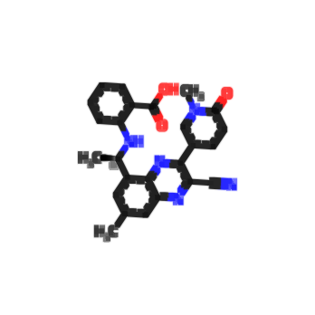 Cc1cc([C@@H](C)Nc2ccccc2C(=O)O)c2nc(-c3ccc(=O)n(C)c3)c(C#N)nc2c1